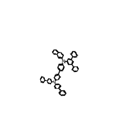 c1ccc(-c2ccc(N(c3ccc(-c4ccccc4)cc3)c3ccc(-c4ccc(N(c5cc(-c6ccccc6)cc(-c6ccccc6)c5)c5ccc6ccccc6c5)cc4)cc3)cc2)cc1